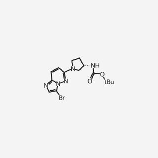 CC(C)(C)OC(=O)N[C@H]1CCN(c2ccc3ncc(Br)n3n2)C1